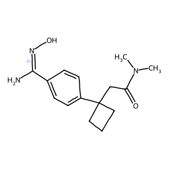 CN(C)C(=O)CC1(c2ccc(/C(N)=N\O)cc2)CCC1